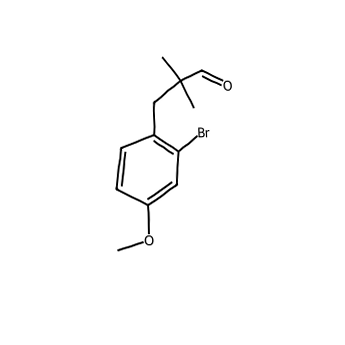 COc1ccc(CC(C)(C)C=O)c(Br)c1